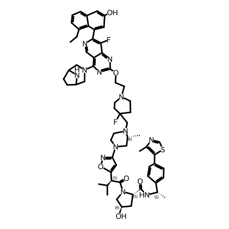 CCc1cccc2cc(O)cc(-c3ncc4c(N5CC6CCC(C5)N6)nc(OCCN5CCC(F)(CN6CCN(c7cc([C@@H](C(=O)N8C[C@H](O)C[C@H]8C(=O)N[C@@H](C)c8ccc(-c9scnc9C)cc8)C(C)C)on7)C[C@H]6C)CC5)nc4c3F)c12